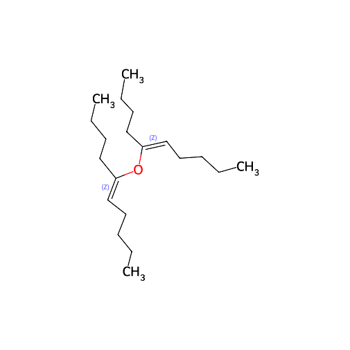 CCCC/C=C(/CCCC)O/C(=C\CCCC)CCCC